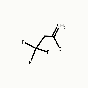 C=C(Cl)CC(F)(F)F